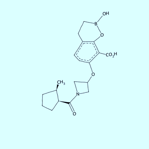 C[C@@H]1CCC[C@@H]1C(=O)N1CC(Oc2ccc3c(c2C(=O)O)OB(O)CC3)C1